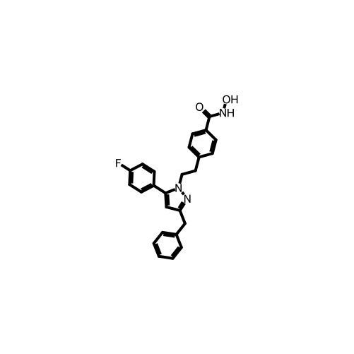 O=C(NO)c1ccc(CCn2nc(Cc3ccccc3)cc2-c2ccc(F)cc2)cc1